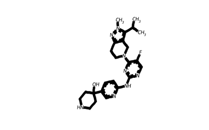 CC(C)c1c2c(nn1C)CCN(c1nc(Nc3ccc(C4(O)CCNCC4)cn3)ncc1F)C2